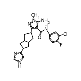 Cn1nc(C2CC3CC(c4c[nH]cn4)CC3C2)c(C(=O)Nc2ccc(F)c(Cl)c2)c1N